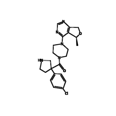 C[C@@H]1OCc2ncnc(N3CCN(C(=O)C4(c5ccc(Cl)cc5)CCNC4)CC3)c21